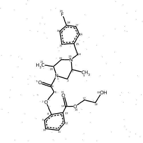 CC1CN(C(=O)COc2ccccc2C(=O)OCCO)C(C)CN1Cc1ccc(F)cc1